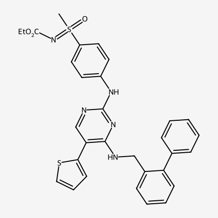 CCOC(=O)N=S(C)(=O)c1ccc(Nc2ncc(-c3cccs3)c(NCc3ccccc3-c3ccccc3)n2)cc1